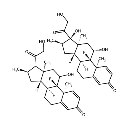 C[C@@H]1C[C@H]2[C@@H]3CCC4=CC(=O)C=C[C@]4(C)[C@@]3(F)C(O)C[C@]2(C)[C@H]1C(=O)CO.C[C@@H]1C[C@H]2[C@@H]3CCC4=CC(=O)C=C[C@]4(C)[C@@]3(F)[C@@H](O)C[C@]2(C)[C@@]1(O)C(=O)CO